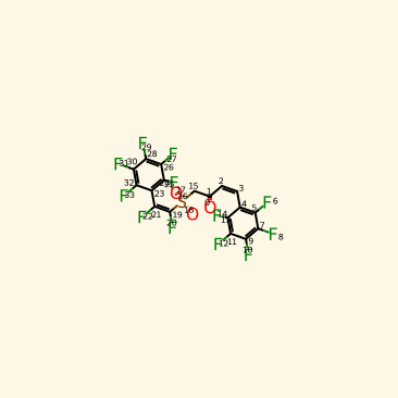 O=C(/C=C\c1c(F)c(F)c(F)c(F)c1F)CS(=O)(=O)/C(F)=C(/F)c1c(F)c(F)c(F)c(F)c1F